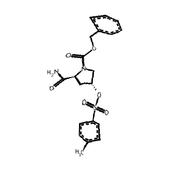 Cc1ccc(S(=O)(=O)O[C@@H]2C[C@@H](C(N)=O)N(C(=O)OCc3ccccc3)C2)cc1